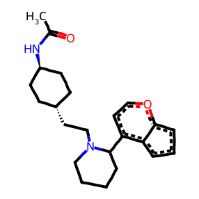 CC(=O)N[C@H]1CC[C@H](CCN2CCCCC2c2ccoc3cccc2-3)CC1